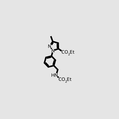 CCOC(=O)NCc1cccc(-n2nc(C)cc2C(=O)OCC)c1